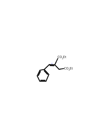 CCOC(=O)C/C(=C\c1ccccc1)C(=O)OCC